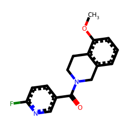 COc1cccc2c1CCN(C(=O)c1ccc(F)nc1)C2